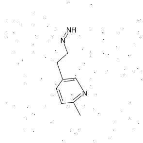 Cc1ccc(CCN=N)cn1